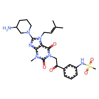 CC(C)=CCn1c(N2CCCC(N)C2)nc2c1c(=O)n(CC(=O)c1cccc(NS(C)(=O)=O)c1)c(=O)n2C